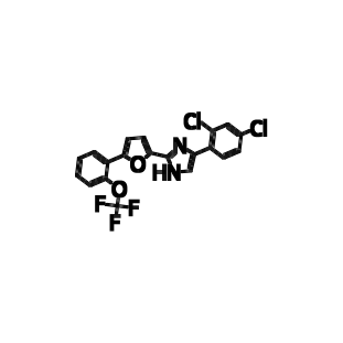 FC(F)(F)Oc1ccccc1-c1ccc(-c2nc(-c3ccc(Cl)cc3Cl)c[nH]2)o1